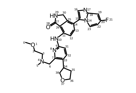 COCCN(C)Cc1nc(Nc2ccc(-c3cnc4cc(F)ccn34)c3c2C(=O)NC3)ccc1C1CCOC1